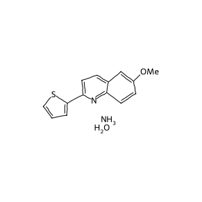 COc1ccc2nc(-c3cccs3)ccc2c1.N.O